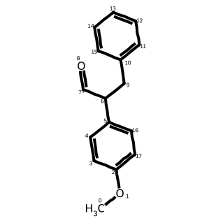 COc1ccc(C([C]=O)Cc2ccccc2)cc1